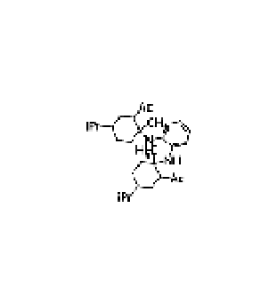 CC(=O)C1CC(C(C)C)CCC1(C)Nc1ccccc1NC1(C)CCC(C(C)C)CC1C(C)=O